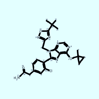 CC1(Oc2ncnc3c2nc(-c2ccc(CC(N)=O)cc2Cl)n3Cc2noc(C(C)(C)C)n2)CC1